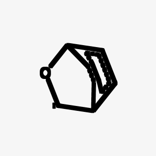 [C]1Oc2ccc1cc2